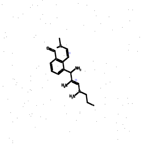 CCCN(N)/C=C(\N)C(N)c1cccc(C=O)c1/C=C\N(C)C